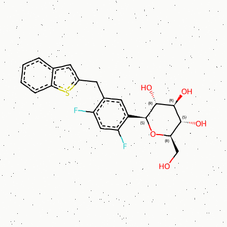 OC[C@H]1O[C@@H](c2cc(Cc3cc4ccccc4s3)c(F)cc2F)[C@H](O)[C@@H](O)[C@@H]1O